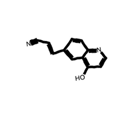 N#CC=Cc1ccc2nccc(O)c2c1